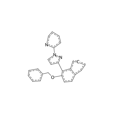 c1ccc(COc2ccc3ccccc3c2-c2ccn(-c3ccccn3)n2)cc1